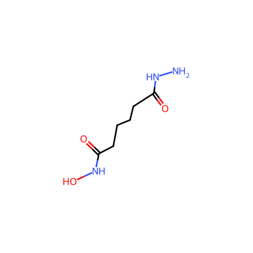 NNC(=O)CCCCC(=O)NO